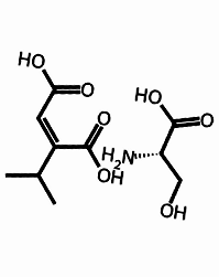 CC(C)/C(=C/C(=O)O)C(=O)O.N[C@@H](CO)C(=O)O